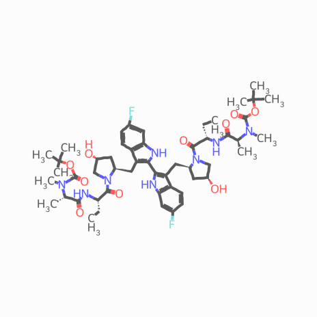 CC[C@H](NC(=O)[C@H](C)N(C)C(=O)OC(C)(C)C)C(=O)N1C[C@@H](O)C[C@H]1Cc1c(-c2[nH]c3cc(F)ccc3c2C[C@@H]2C[C@H](O)CN2C(=O)[C@H](CC)NC(=O)[C@H](C)N(C)C(=O)OC(C)(C)C)[nH]c2cc(F)ccc12